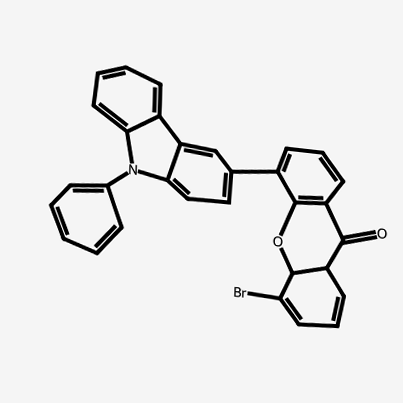 O=C1c2cccc(-c3ccc4c(c3)c3ccccc3n4-c3ccccc3)c2OC2C(Br)=CC=CC12